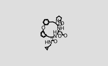 O=CC[C@@H]1NC(=O)C(N2CCCC2=O)Cc2cccc(c2)Oc2cccc(c2)C[C@@H](C(=O)NCC2CC2)NC1=O